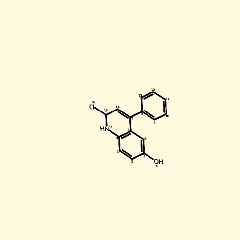 Oc1ccc2c(c1)C(c1ccccc1)=CC(Cl)N2